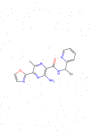 CCC(NC(=O)c1nc(C)c(-c2ncco2)nc1N)c1ccccn1